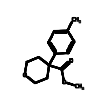 COC(=O)C1(c2ccc(C)cc2)CCOCC1